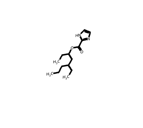 CCCC(CC)CC(CC)OC(=O)c1ncc[nH]1